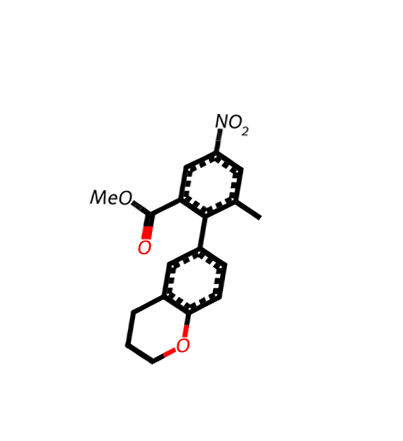 COC(=O)c1cc([N+](=O)[O-])cc(C)c1-c1ccc2c(c1)CCCO2